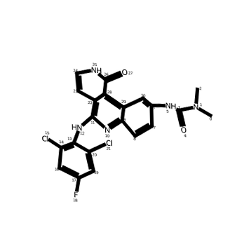 CN(C)C(=O)Nc1ccc2nc(Nc3c(Cl)cc(F)cc3Cl)c3cc[nH]c(=O)c3c2c1